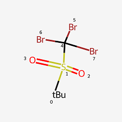 CC(C)(C)S(=O)(=O)C(Br)(Br)Br